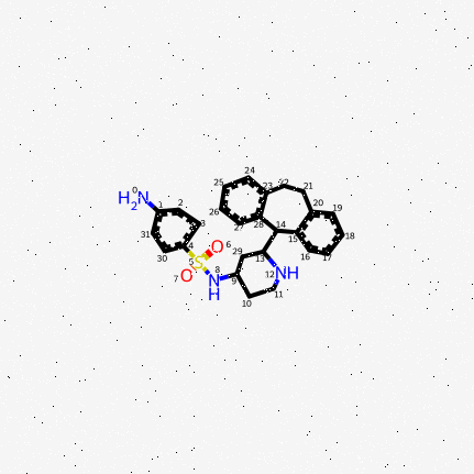 Nc1ccc(S(=O)(=O)NC2CCNC(C3c4ccccc4CCc4ccccc43)C2)cc1